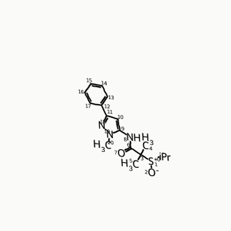 CC(C)[S+]([O-])C(C)(C)C(=O)Nc1cc(-c2ccccc2)nn1C